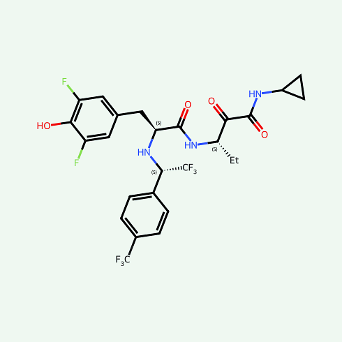 CC[C@H](NC(=O)[C@H](Cc1cc(F)c(O)c(F)c1)N[C@@H](c1ccc(C(F)(F)F)cc1)C(F)(F)F)C(=O)C(=O)NC1CC1